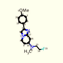 COc1ccc(-c2cn3ccc(N(C)CCF)cc3n2)cc1